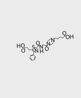 O=C(O)CCCCN1CCN(C(=O)CNC(=O)c2nc(-c3ccccc3)c(CCC(=O)O)s2)CC1